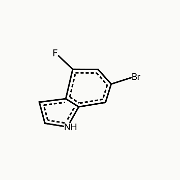 Fc1cc(Br)cc2[nH]ccc12